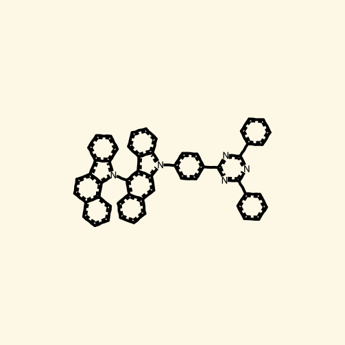 c1ccc(-c2nc(-c3ccccc3)nc(-c3ccc(-n4c5ccccc5c5c(-n6c7ccccc7c7ccc8ccccc8c76)c6ccccc6cc54)cc3)n2)cc1